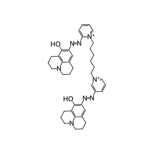 Oc1c(N=Nc2ccc[n+](CCCCCC[n+]3ccccc3N=Nc3cc4c5c(c3O)CCCN5CCC4)c2)cc2c3c1CCCN3CCC2